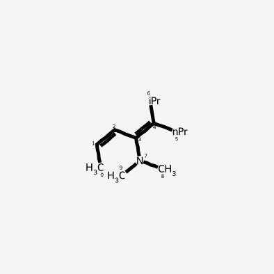 C/C=C\C(=C(\CCC)C(C)C)N(C)C